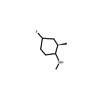 CNC1CCC(F)C[C@H]1C